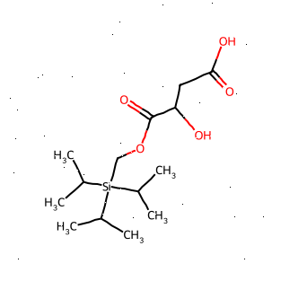 CC(C)[Si](COC(=O)C(O)CC(=O)O)(C(C)C)C(C)C